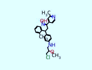 COC(CCl)CNc1ccc(C(CC(=NO)c2ccnc(C)c2)c2ccccc2C)cc1